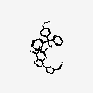 COc1ccc(C(Nc2nc3c(ncn3C3CCC(C=O)O3)c(=O)[nH]2)(c2ccccc2)c2ccccc2)cc1